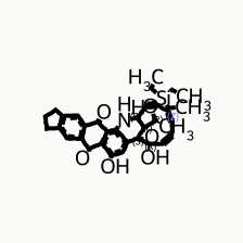 CC[Si](CC)(CC)O[C@H](C)[C@@]12O[C@]13c1cc(O)c4c(c1N[C@H]2C#C/C=C\C#C[C@H]3O)C(=O)c1cc2c(cc1C4=O)CCC2